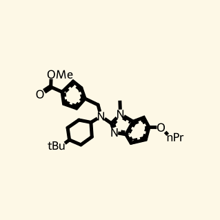 CCCOc1ccc2nc(N(Cc3ccc(C(=O)OC)cc3)C3CCC(C(C)(C)C)CC3)n(C)c2c1